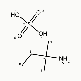 CCC(C)(C)N.O=S(=O)(O)O